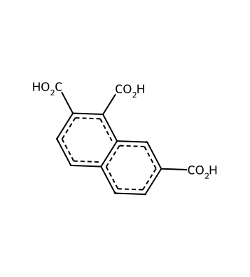 O=C(O)c1ccc2ccc(C(=O)O)c(C(=O)O)c2c1